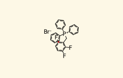 Fc1ccc(F)c(C[P+](c2ccccc2)(c2ccccc2)c2ccccc2)c1F.[Br-]